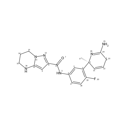 C[C@@]1(c2cc(NC(=O)c3cc4n(n3)CCCN4)ccc2F)C=CSC(N)=N1